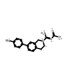 CC(C)(C)c1ccc(-c2ccc3c(c2)CN(/C(N)=N/C(=O)C(F)(F)F)CC3)cc1